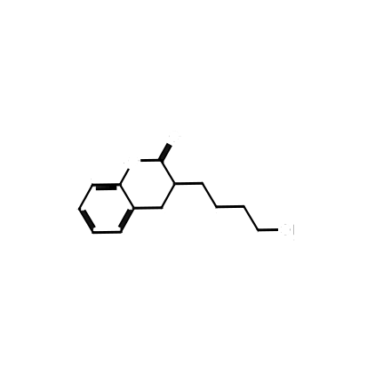 O=C1Oc2ccccc2CC1CCCCO